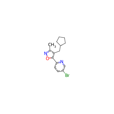 Cc1noc(-c2ccc(Br)cn2)c1C[C]1CCCC1